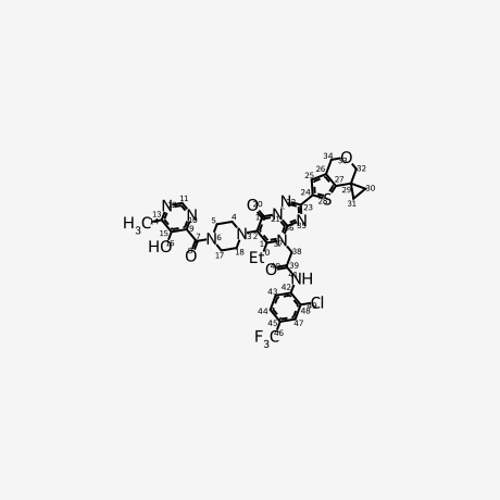 CCc1c(N2CCN(C(=O)c3ncnc(C)c3O)CC2)c(=O)n2nc(-c3cc4c(s3)C3(CC3)COC4)nc2n1CC(=O)Nc1ccc(C(F)(F)F)cc1Cl